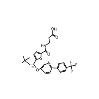 CC(C)(C)C[C@@H](Oc1ccc(-c2ccc(C(F)(F)F)cc2)nc1)c1ccc(C(=O)NCCC(=O)O)s1